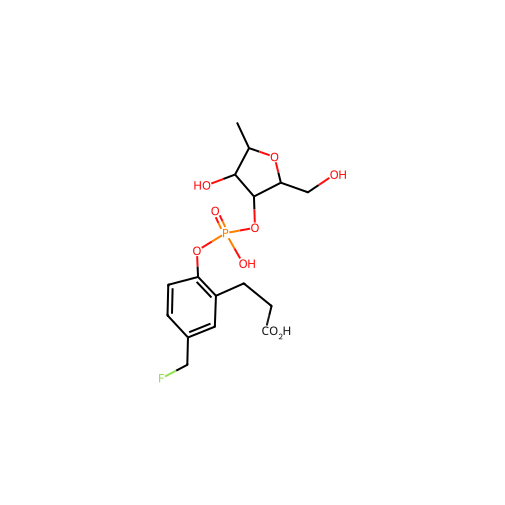 CC1OC(CO)C(OP(=O)(O)Oc2ccc(CF)cc2CCC(=O)O)C1O